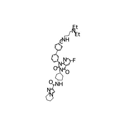 CCN(CC)CCCNCc1ccc(-c2cccc(-n3c(=O)n([C@H]4CC[C@@H](NC(=O)c5cn6c(n5)CCCC6)CC4)c(=O)c4cc(F)cnc43)c2)cc1